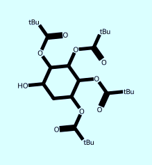 CC(C)(C)C(=O)OC1[CH]C(O)C(OC(=O)C(C)(C)C)C(OC(=O)C(C)(C)C)C1OC(=O)C(C)(C)C